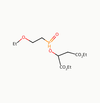 CCOCC[PH](=O)OC(CC(=O)OCC)C(=O)OCC